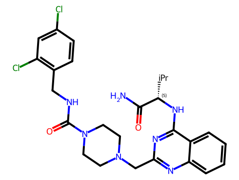 CC(C)[C@H](Nc1nc(CN2CCN(C(=O)NCc3ccc(Cl)cc3Cl)CC2)nc2ccccc12)C(N)=O